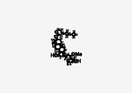 CCO[C@@H](C(C[C@@H](C)[C@H]1C[C@H](O)[C@@]2(C)C3CC[C@H]4C(C)(C)[C@@H](O[C@H]5CN(C6CN(C7CCC7)C6)CCO5)CC[C@@]45C[C@@]35CC[C@]12C)OC)C(C)(C)O